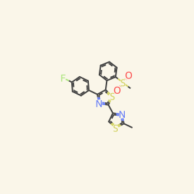 Cc1nc(-c2nc(-c3ccc(F)cc3)c(-c3ccccc3S(C)(=O)=O)s2)cs1